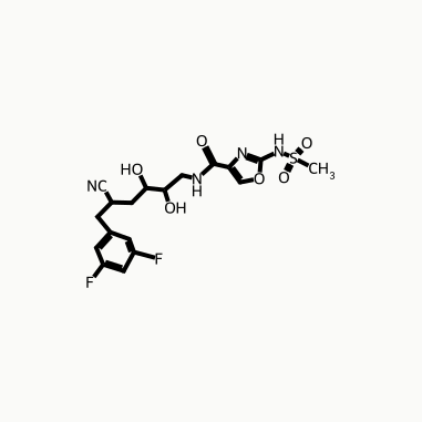 CS(=O)(=O)Nc1nc(C(=O)NCC(O)C(O)CC(C#N)Cc2cc(F)cc(F)c2)co1